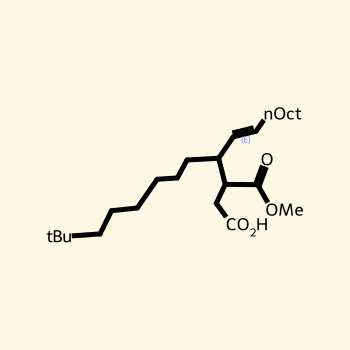 CCCCCCCC/C=C/C(CCCCCCC(C)(C)C)C(CC(=O)O)C(=O)OC